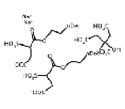 CCCCCCCCCCCCOC(=O)C(CC(=O)[O-])S(=O)(=O)O.CCCCCCCCCCCCOC(=O)C(CC(=O)[O-])S(=O)(=O)O.O=C(O)CC(O)(CC(=O)O)C(=O)O.[Na+].[Na+]